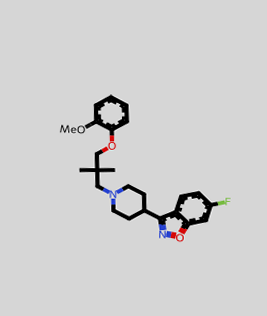 COc1c[c]ccc1OCC(C)(C)CN1CCC(c2noc3cc(F)ccc23)CC1